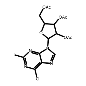 CC(=O)OCC1OC(n2cnc3c(Cl)nc(I)nc32)C(OC(C)=O)C1OC(C)=O